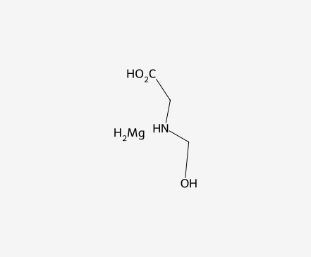 O=C(O)CNCO.[MgH2]